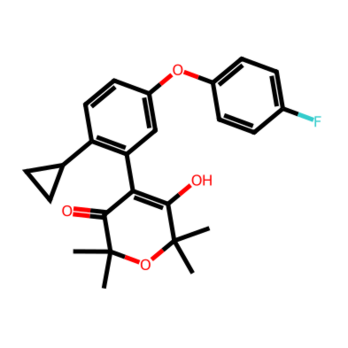 CC1(C)OC(C)(C)C(O)=C(c2cc(Oc3ccc(F)cc3)ccc2C2CC2)C1=O